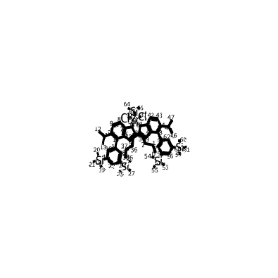 CCCCC1=Cc2c(ccc(C(C)C)c2-c2cc([Si](C)(C)C)cc([Si](C)(C)C)c2)[CH]1[Zr]([Cl])([Cl])([CH]1C(CCCC)=Cc2c1ccc(C(C)C)c2-c1cc([Si](C)(C)C)cc([Si](C)(C)C)c1)[SiH](C)C